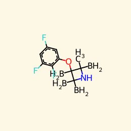 BC1(B)NC(B)(C)C1(B)Oc1cc(F)cc(F)c1F